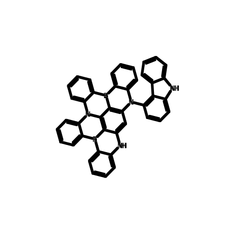 c1ccc2c(c1)Nc1cc3c4c5c1B2c1ccccc1N5c1ccccc1B4c1ccccc1N3c1cccc2[nH]c3ccccc3c12